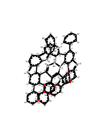 c1ccc(C2=C(c3ccccc3)N(c3c4c(cc(-c5ccccc5)c3-c3ccc5ccccc5n3)N=c3ccc5c(c3-4)N=c3ccccc3=5)NN=C2c2c3c(cc(-c4ccccc4)c2-c2cccc4ccccc24)N=c2ccc4c(c2-3)N=c2ccccc2=4)cc1